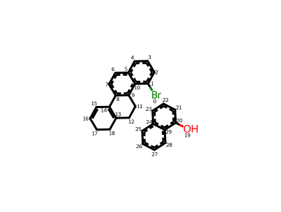 Brc1cccc2ccc3c(c12)CCC1=C3C=CCC1.Oc1cccc2ccccc12